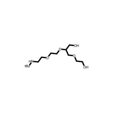 CC(C)(C)NCCOCCOC(CO)COCCO